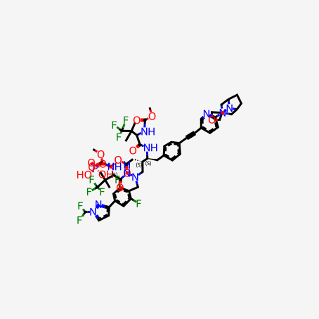 COC(=O)NC(C(=O)N[C@@H](Cc1ccc(C#Cc2ccc(N3CC4CCC(C3)N4C3COC3)nc2)cc1)[C@@H](CC(=O)OCOP(=O)(O)O)CN(Cc1c(F)cc(-c2ccn(C(F)F)n2)cc1F)NC(=O)[C@@H](NC(=O)OC)C(C)(C)C(F)(F)F)C(C)(C)C(F)(F)F